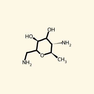 C[C@H]1OC(CN)[C@@H](O)C(O)[C@@H]1N